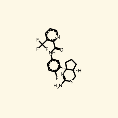 NC1=N[C@@]2(c3cc(NC(=O)c4ncccc4C(F)(F)F)ccc3F)CCC[C@H]2CS1